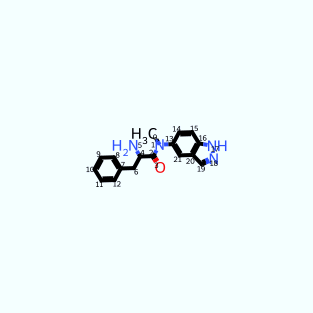 CN(C(=O)C(N)Cc1ccccc1)c1ccc2[nH]ncc2c1